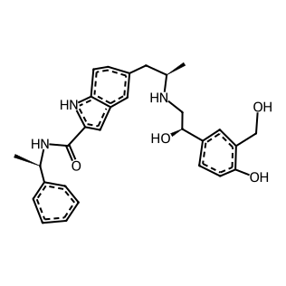 C[C@H](Cc1ccc2[nH]c(C(=O)N[C@H](C)c3ccccc3)cc2c1)NC[C@H](O)c1ccc(O)c(CO)c1